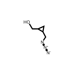 [N-]=[N+]=NCC1CC1CO